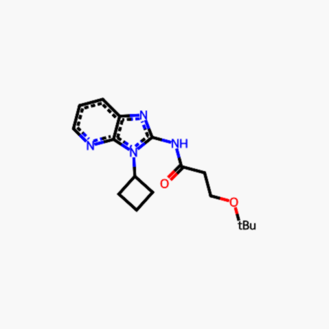 CC(C)(C)OCCC(=O)Nc1nc2cccnc2n1C1CCC1